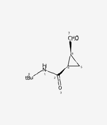 CC(C)(C)NC(=O)[C@@H]1C[C@@H]1C=O